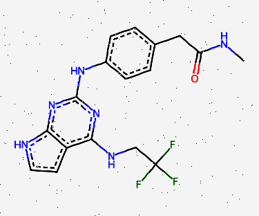 CNC(=O)Cc1ccc(Nc2nc(NCC(F)(F)F)c3cc[nH]c3n2)cc1